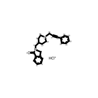 Cl.O=C1c2ccccc2CN1CC1CCN(CC#Cc2ccccc2)CC1